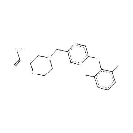 CNC(=O)[C@@H]1CN(Cc2cnc(Oc3c(C)cccc3F)cn2)CCO1